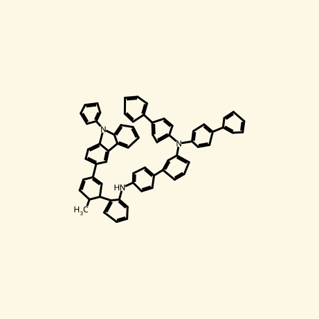 CC1C=CC(c2ccc3c(c2)c2ccccc2n3-c2ccccc2)=CC1c1ccccc1Nc1ccc(-c2cccc(N(c3ccc(-c4ccccc4)cc3)c3ccc(-c4ccccc4)cc3)c2)cc1